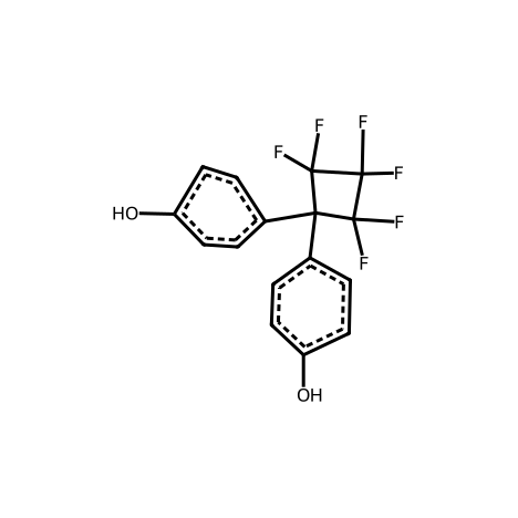 Oc1ccc(C2(c3ccc(O)cc3)C(F)(F)C(F)(F)C2(F)F)cc1